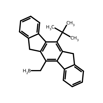 BCc1c2c(c(C(C)(C)C)c3c1-c1ccccc1C3)-c1ccccc1C2